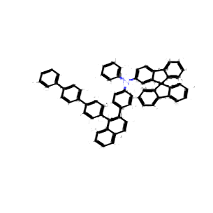 c1ccc(-c2ccc(-c3ccc(-c4c(-c5ccc(N(c6ccccc6)c6ccc7c(c6)C6(c8ccccc8-c8ccccc86)c6ccccc6-7)cc5)ccc5ccccc45)cc3)cc2)cc1